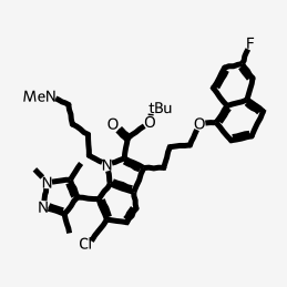 CNCCCCn1c(C(=O)OC(C)(C)C)c(CCCOc2cccc3cc(F)ccc23)c2ccc(Cl)c(-c3c(C)nn(C)c3C)c21